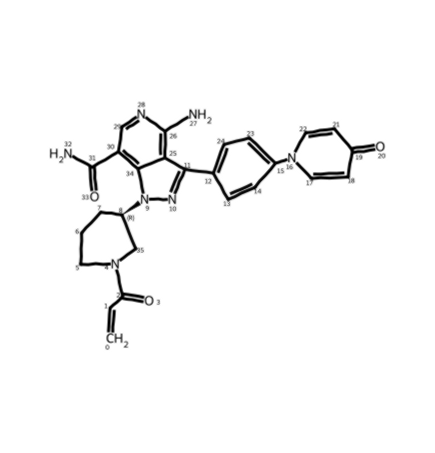 C=CC(=O)N1CCC[C@@H](n2nc(-c3ccc(-n4ccc(=O)cc4)cc3)c3c(N)ncc(C(N)=O)c32)C1